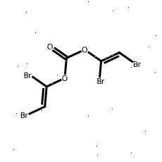 O=C(OC(Br)=CBr)OC(Br)=CBr